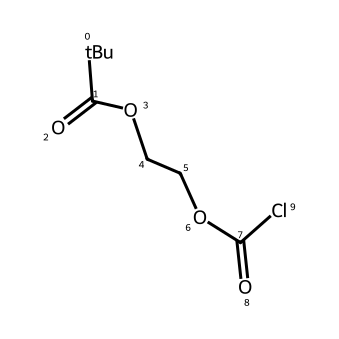 CC(C)(C)C(=O)OCCOC(=O)Cl